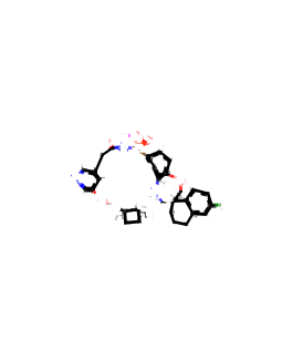 O=C1Cc2cncc(c2)OC[C@@H]2CC[C@H]2CN2C[C@@]3(CCCc4cc(Cl)ccc43)COc3ccc(cc32)S(=O)(=O)N1